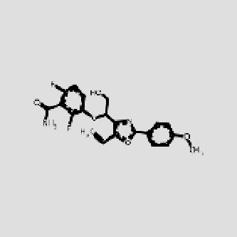 C=Cc1oc(-c2ccc(OC)cc2)nc1C(CO)Oc1ccc(F)c(C(N)=O)c1F